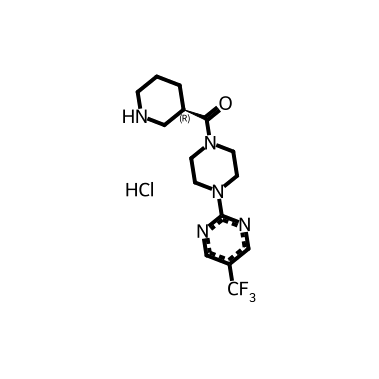 Cl.O=C([C@@H]1CCCNC1)N1CCN(c2ncc(C(F)(F)F)cn2)CC1